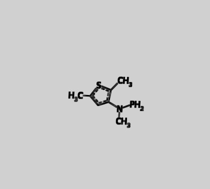 Cc1cc(N(C)P)c(C)s1